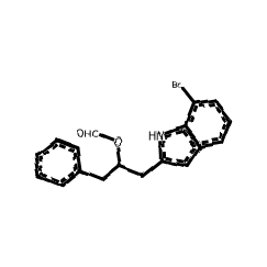 O=COC(Cc1ccccc1)Cc1cc2cccc(Br)c2[nH]1